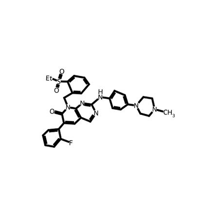 CCS(=O)(=O)c1ccccc1Cn1c(=O)c(-c2ccccc2F)cc2cnc(Nc3ccc(N4CCN(C)CC4)cc3)nc21